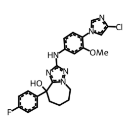 COc1cc(Nc2nc3n(n2)CCCCC3(O)c2ccc(F)cc2)ccc1-n1cnc(Cl)c1